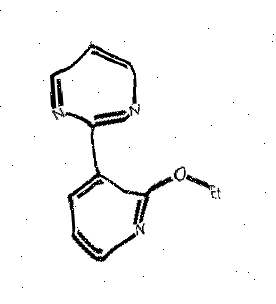 CCOc1ncccc1-c1nc[c]cn1